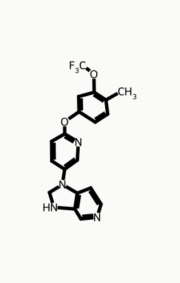 Cc1ccc(Oc2ccc(N3CNc4cnccc43)cn2)cc1OC(F)(F)F